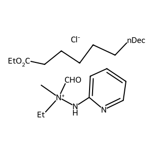 CCCCCCCCCCCCCCCC(=O)OCC.CC[N+](C)(C=O)Nc1ccccn1.[Cl-]